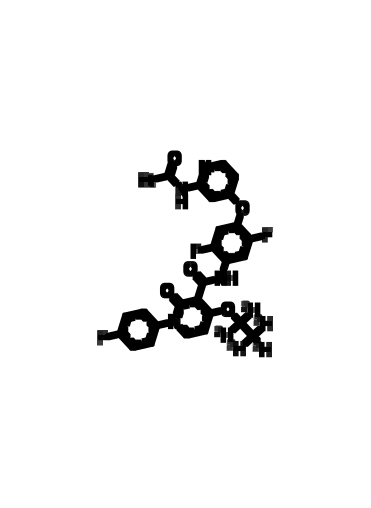 [2H]C([2H])([2H])C([2H])([2H])Oc1ccn(-c2ccc(F)cc2)c(=O)c1C(=O)Nc1cc(F)c(Oc2ccnc(NC(=O)CC)c2)cc1F